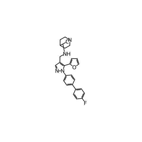 Fc1ccc(-c2ccc(-n3ncc(CNC4CN5CCC4CC5)c3-c3ccco3)cc2)cc1